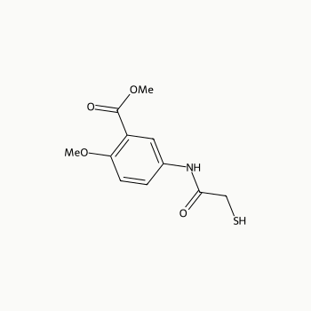 COC(=O)c1cc(NC(=O)CS)ccc1OC